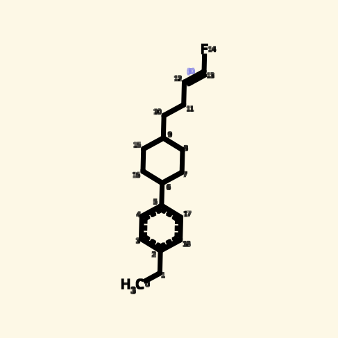 CCc1ccc(C2CCC(CC/C=C/F)CC2)cc1